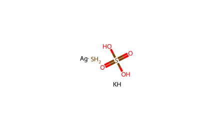 O=S(=O)(O)O.S.[Ag].[KH]